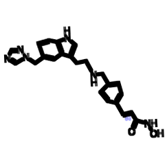 O=C(/C=C/c1ccc(CNCCc2c[nH]c3ccc(Cn4cncn4)cc23)cc1)NO